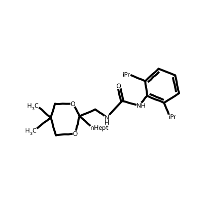 CCCCCCCC1(CNC(=O)Nc2c(C(C)C)cccc2C(C)C)OCC(C)(C)CO1